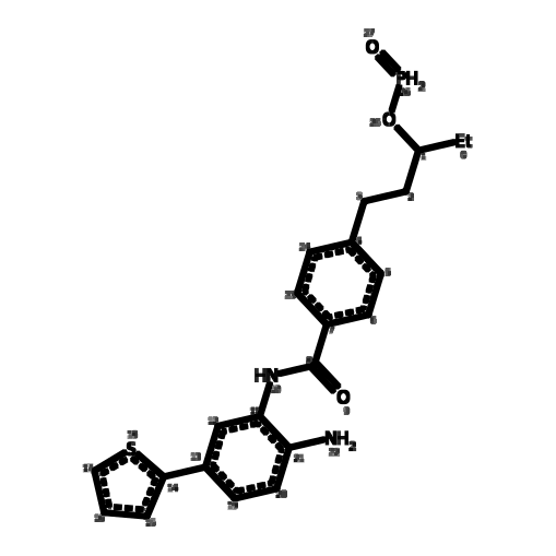 CCC(CCc1ccc(C(=O)Nc2cc(-c3cccs3)ccc2N)cc1)O[PH2]=O